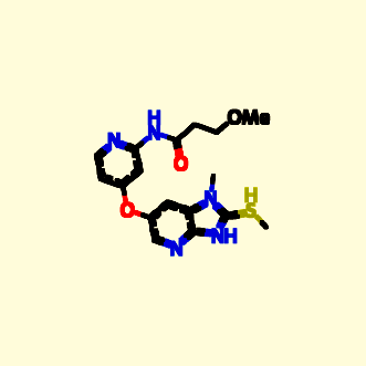 COCCC(=O)Nc1cc(Oc2cnc3[nH]/c(=[SH]\C)n(C)c3c2)ccn1